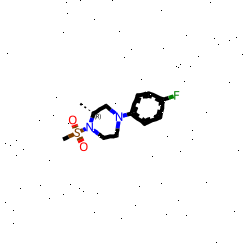 C[C@@H]1CN(c2ccc(F)cc2)CCN1S(C)(=O)=O